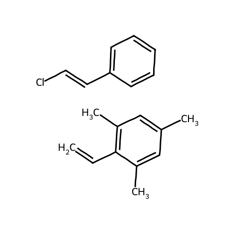 C=Cc1c(C)cc(C)cc1C.ClC=Cc1ccccc1